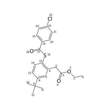 CCOC(=O)Cc1cc(C(C)(C)C)ccc1SC(=O)c1ccc(Cl)cc1